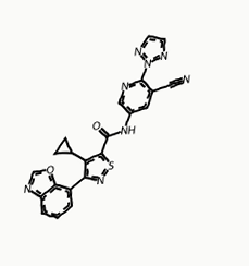 N#Cc1cc(NC(=O)c2snc(-c3cccc4ncoc34)c2C2CC2)cnc1-n1nccn1